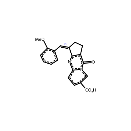 COc1ccccc1/C=C1/CCc2c1nc1ccc(C(=O)O)cn1c2=O